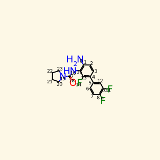 Nc1ccc(-c2ccc(F)c(F)c2)c(F)c1NC(=O)N1CCCC1